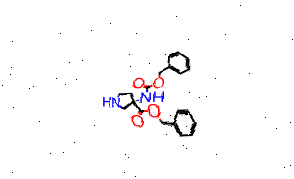 O=C(N[C@@]1(C(=O)OCc2ccccc2)CCNC1)OCc1ccccc1